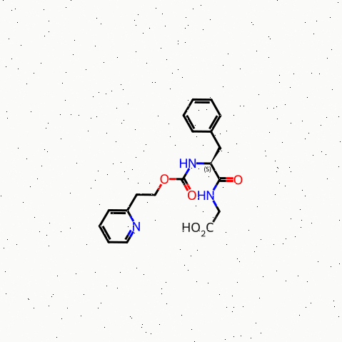 O=C(O)CNC(=O)[C@H](Cc1ccccc1)NC(=O)OCCc1ccccn1